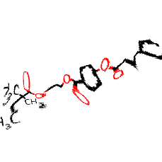 CCC(C)(C)C(=O)OCCOC(=O)c1ccc(OC(=O)/C=C/c2ccccc2)cc1